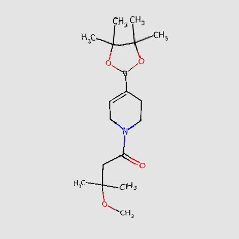 COC(C)(C)CC(=O)N1CC=C(B2OC(C)(C)C(C)(C)O2)CC1